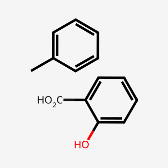 Cc1ccccc1.O=C(O)c1ccccc1O